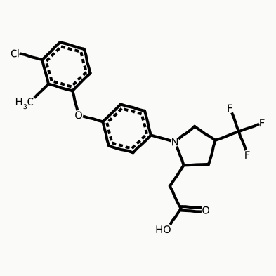 Cc1c(Cl)cccc1Oc1ccc(N2CC(C(F)(F)F)CC2CC(=O)O)cc1